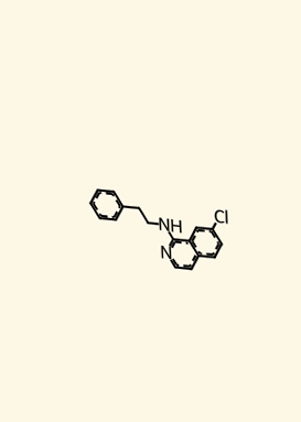 Clc1ccc2ccnc(NCCc3ccccc3)c2c1